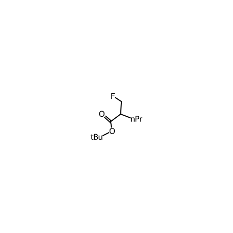 CCCC(CF)C(=O)OC(C)(C)C